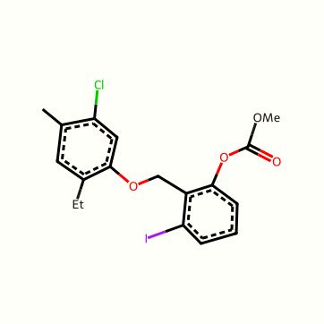 CCc1cc(C)c(Cl)cc1OCc1c(I)cccc1OC(=O)OC